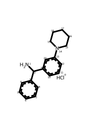 Cl.NC(c1ccccc1)c1cccc(N2CCCCC2)c1